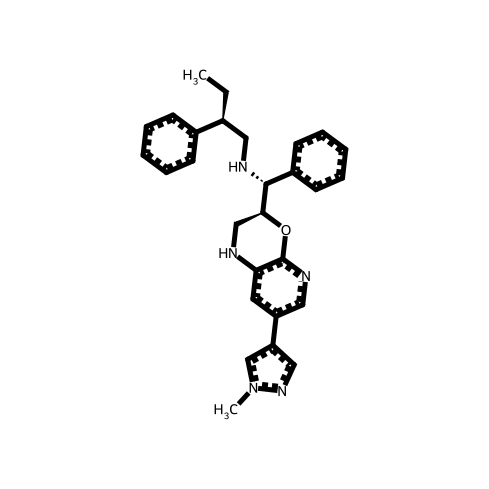 CC[C@@H](CN[C@H](c1ccccc1)[C@@H]1CNc2cc(-c3cnn(C)c3)cnc2O1)c1ccccc1